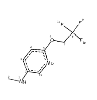 CNc1ccc(OCC(F)(F)F)nc1